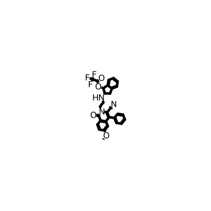 COc1ccc2c(=O)n(CCNC3Cc4ccccc4C3OC(=O)C(F)(F)F)c(C#N)c(-c3ccccc3)c2c1